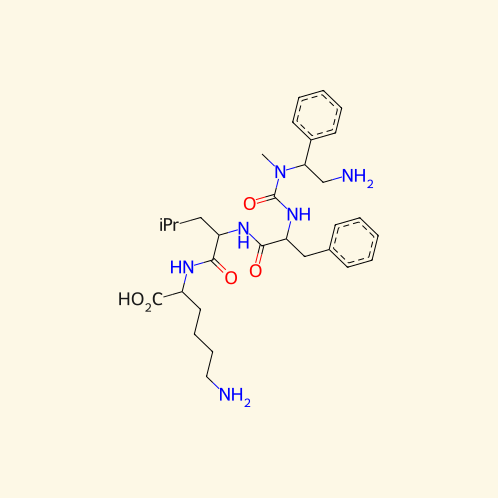 CC(C)CC(NC(=O)C(Cc1ccccc1)NC(=O)N(C)C(CN)c1ccccc1)C(=O)NC(CCCCN)C(=O)O